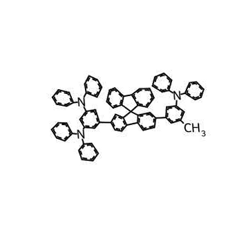 Cc1cc(-c2ccc3c(c2)C2(c4ccccc4-c4ccccc42)c2cc(-c4cc(N(c5ccccc5)c5ccccc5)cc(N(c5ccccc5)c5ccccc5)c4)ccc2-3)cc(N(c2ccccc2)c2ccccc2)c1